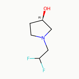 O[C@@H]1CCN(CC(F)F)C1